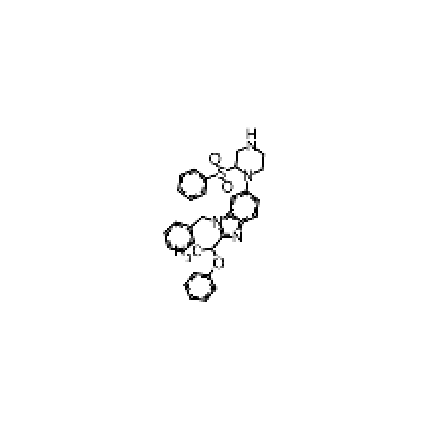 CC(Oc1ccccc1)c1nc2ccc(N3CCNCC3S(=O)(=O)c3ccccc3)cc2n1Cc1ccccc1